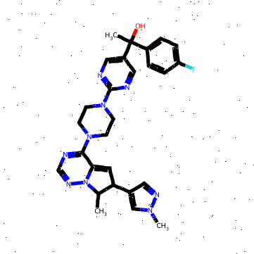 CC1C(c2cnn(C)c2)C=C2C(N3CCN(c4ncc(C(C)(O)c5ccc(F)cc5)cn4)CC3)=NC=NN21